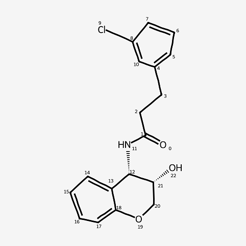 O=C(CCc1cccc(Cl)c1)N[C@H]1c2ccccc2OC[C@H]1O